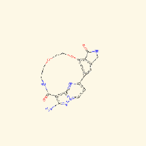 Nc1nn2ccc3nc2c1C(=O)NCCOCCOc1cc-3cc2c1C(=O)NC2